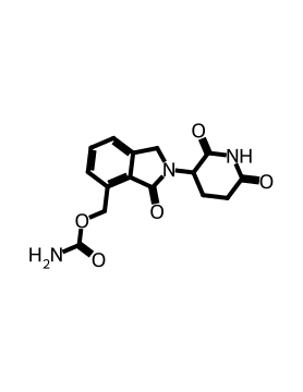 NC(=O)OCc1cccc2c1C(=O)N(C1CCC(=O)NC1=O)C2